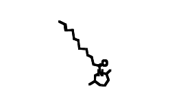 CC=CCCCCCCCCC(=O)N1CC(C)CCCC1C